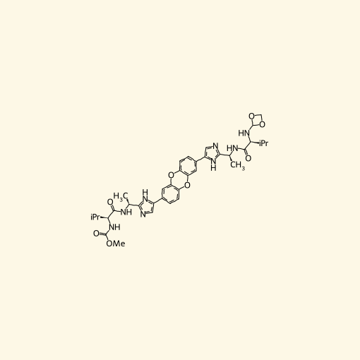 COC(=O)N[C@H](C(=O)N[C@@H](C)c1ncc(-c2ccc3c(c2)Oc2ccc(-c4cnc([C@H](C)NC(=O)[C@@H](NC5OCO5)C(C)C)[nH]4)cc2O3)[nH]1)C(C)C